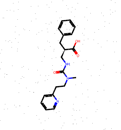 CN(CCc1ccccn1)C(=O)NC[C@@H](Cc1ccccc1)C(=O)O